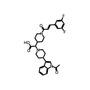 CC(=O)n1cc(C2CCN(C(C(=O)O)C3CCN(C(=O)/C=C/c4cc(F)cc(F)c4)CC3)CC2)c2ccccc21